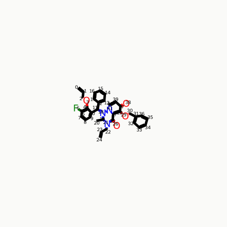 C=CCOc1c(F)cccc1C(c1ccccc1)N1C(C)N(CC=C)C(=O)c2c(OCc3ccccc3)c(=O)ccn21